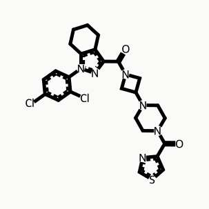 O=C(c1cscn1)N1CCN(C2CN(C(=O)c3nn(-c4ccc(Cl)cc4Cl)c4c3CCCC4)C2)CC1